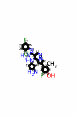 Cc1cc(O)c(F)cc1-c1cc2c(N[C@@H]3CC[C@H](N)C3)c(/C(N)=N/c3cc(F)ccc3Cl)cnn2c1